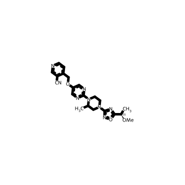 CO[C@@H](C)c1nc(N2CCN(c3ncc(OCc4ccncc4C#N)cn3)C(C)C2)no1